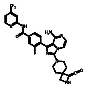 Nc1nccn2c(N3CCC4(CC3)CNC4=C=O)nc(-c3ccc(C(=O)Nc4cc(C(F)(F)F)ccn4)cc3F)c12